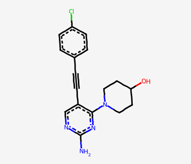 Nc1ncc(C#Cc2ccc(Cl)cc2)c(N2CCC(O)CC2)n1